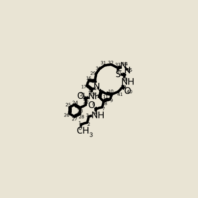 CCCCNC(=O)Cc1cc2cc(c1)-n1c(ccc1NC(=O)Cc1ccccc1)CCCCc1nnc(s1)NC(=O)C2